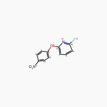 O=[N+]([O-])c1ccc(Oc2cccc(F)n2)cc1